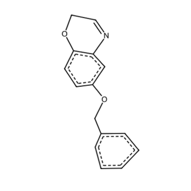 C1=Nc2cc(OCc3ccccc3)ccc2OC1